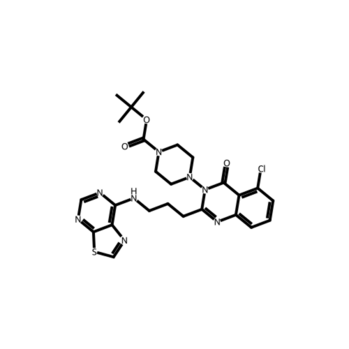 CC(C)(C)OC(=O)N1CCN(n2c(CCCNc3ncnc4scnc34)nc3cccc(Cl)c3c2=O)CC1